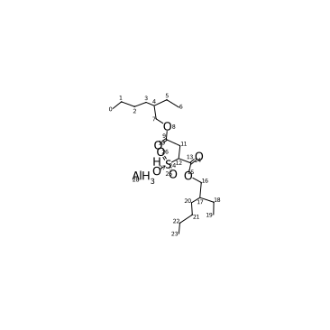 CCCCC(CC)COC(=O)CC(C(=O)OCC(CC)CCCC)S(=O)(=O)O.[AlH3]